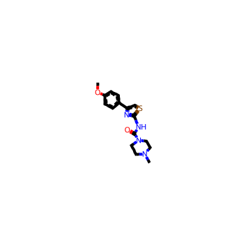 COc1ccc(-c2csc(NC(=O)N3CCN(C)CC3)n2)cc1